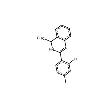 Cc1ccc(C2=Nc3ccccc3C(C=O)N2)c(Cl)c1